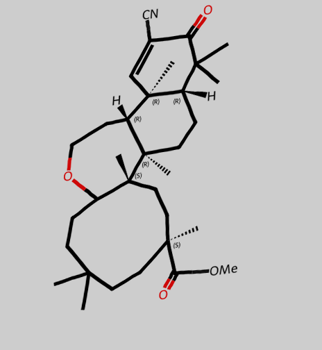 COC(=O)[C@@]1(C)CCC(C)(C)CCC2OCC[C@@H]3[C@@]4(C)C=C(C#N)C(=O)C(C)(C)[C@@H]4CC[C@@]3(C)[C@]2(C)CC1